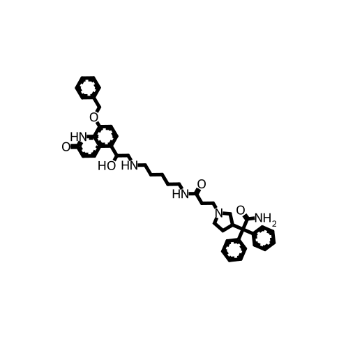 NC(=O)C(c1ccccc1)(c1ccccc1)C1CCN(CCC(=O)NCCCCCNCC(O)c2ccc(OCc3ccccc3)c3[nH]c(=O)ccc23)C1